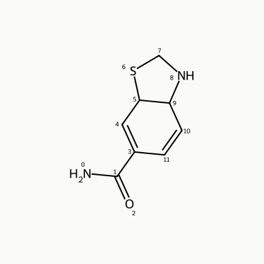 NC(=O)C1=CC2SCNC2C=C1